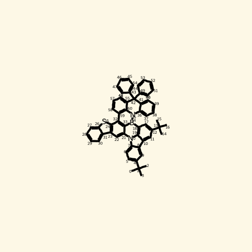 CC(C)(C)c1ccc2c(c1)c1cc(C(C)(C)C)cc3c1n2-c1cc2c(sc4ccccc42)c2c1B3N1c3ccccc3C(c3ccccc3)(c3ccccc3)c3cccc-2c31